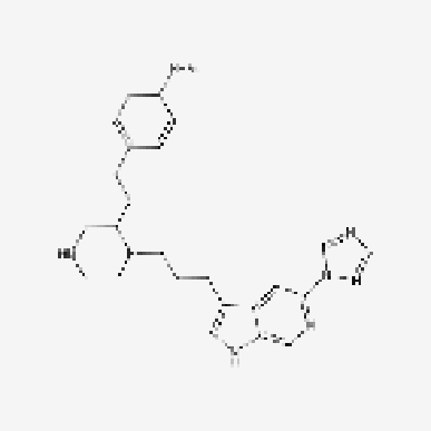 CC(=O)Nc1ccc(CCC2CNCCN2CCCc2c[nH]c3cnc(-n4cncn4)cc23)cc1